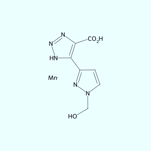 O=C(O)c1nn[nH]c1-c1ccn(CO)n1.[Mn]